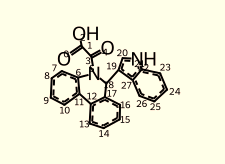 O=C(O)C(=O)N1c2ccccc2-c2ccccc2C1c1c[nH]c2ccccc12